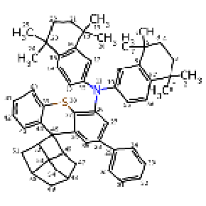 CC1(C)CCC(C)(C)c2cc(N(c3ccc4c(c3)C(C)(C)CCC4(C)C)c3cc(-c4ccccc4)cc4c3Sc3ccccc3C43C4CC5CC6CC3C64C5)ccc21